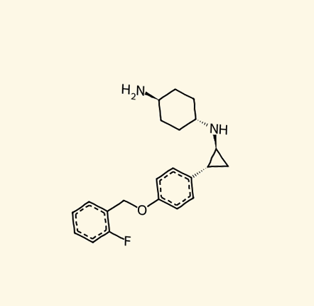 N[C@H]1CC[C@H](N[C@H]2C[C@@H]2c2ccc(OCc3ccccc3F)cc2)CC1